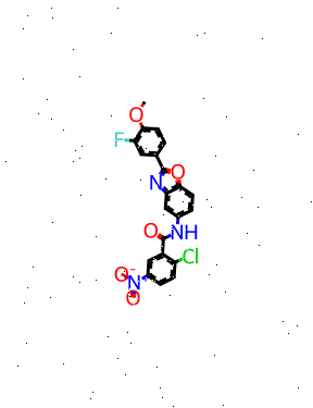 COc1ccc(-c2nc3cc(NC(=O)c4cc([N+](=O)[O-])ccc4Cl)ccc3o2)cc1F